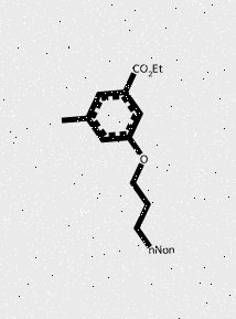 CCCCCCCCCCCCOc1cc(C)cc(C(=O)OCC)c1